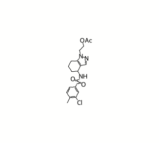 CC(=O)OCCn1ncc2c1CCCC2NS(=O)(=O)c1ccc(C)c(Cl)c1